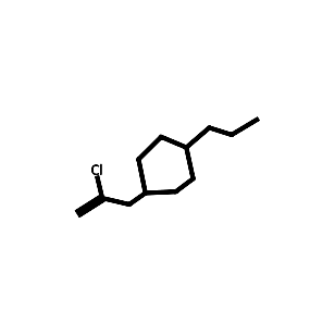 C=C(Cl)CC1CCC(CCC)CC1